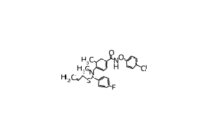 C=CCSC(c1ccc(F)cc1)N(C)C1=CC=C(C(=O)NOc2ccc(Cl)cc2)CC1C